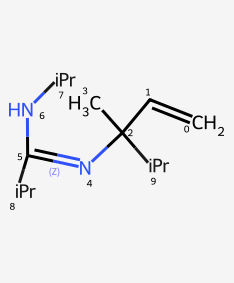 C=CC(C)(/N=C(\NC(C)C)C(C)C)C(C)C